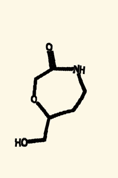 O=C1COC(CO)CCN1